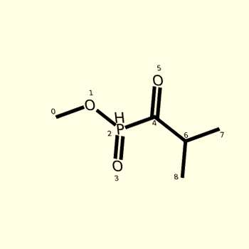 CO[PH](=O)C(=O)C(C)C